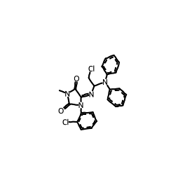 CN1C(=O)C(=NC(CCl)N(c2ccccc2)c2ccccc2)N(c2ccccc2Cl)C1=O